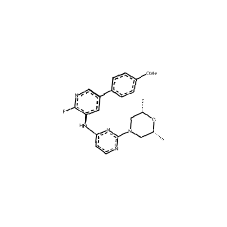 COc1ccc(-c2cnc(F)c(Nc3ccnc(N4C[C@@H](C)O[C@@H](C)C4)n3)c2)cc1